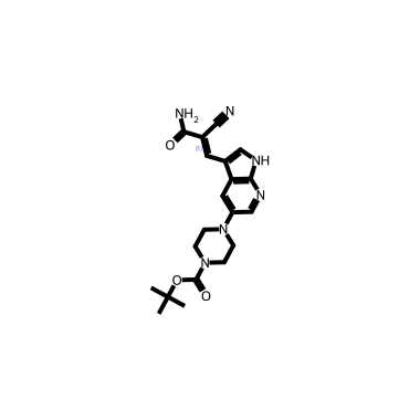 CC(C)(C)OC(=O)N1CCN(c2cnc3[nH]cc(/C=C(\C#N)C(N)=O)c3c2)CC1